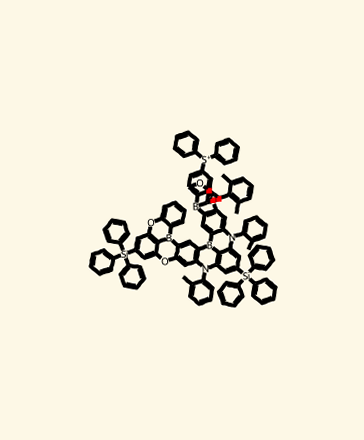 Cc1ccccc1N1c2cc3c(cc2B2c4cc5c(cc4N(c4ccccc4C)c4cc([Si](c6ccccc6)(c6ccccc6)c6ccccc6)cc1c42)N(c1c(C)cccc1C)c1cc([S+](c2ccccc2)c2ccccc2)cc2c1B5c1ccccc1O2)B1c2ccccc2Oc2cc([Si](c4ccccc4)(c4ccccc4)c4ccccc4)cc(c21)O3